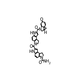 NC(=O)N1CCc2c1ccc1[nH]c(C(=O)N3CCc4c3ccc3[nH]c(C(=O)N5C[C@@H]6C[C@@]67C=CC(=O)C=C57)cc43)cc21